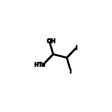 OC([TeH])C(I)I